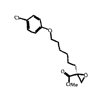 COC(=O)[C@]1(CCCCCCOc2ccc(Cl)cc2)CO1